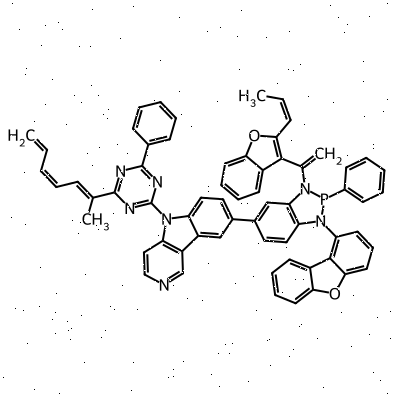 C=C/C=C\C=C(/C)c1nc(-c2ccccc2)nc(-n2c3ccncc3c3cc(-c4ccc5c(c4)N(C(=C)c4c(/C=C\C)oc6ccccc46)P(c4ccccc4)N5c4cccc5oc6ccccc6c45)ccc32)n1